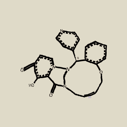 O=C1c2c(O)c(=O)ccn2N2CN1C/C=C\COc1ccccc1[C@@H]2c1ccncc1